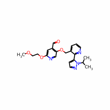 COCCOc1cc(C=O)c(OCc2cccnc2-c2ccnn2C(C)C)cn1